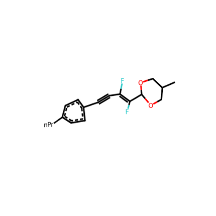 CCCc1ccc(C#CC(F)=C(F)C2OCC(C)CO2)cc1